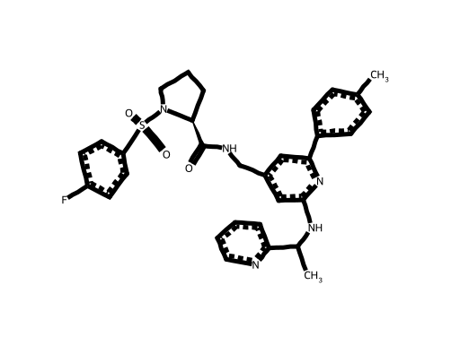 Cc1ccc(-c2cc(CNC(=O)[C@@H]3CCCN3S(=O)(=O)c3ccc(F)cc3)cc(NC(C)c3ccccn3)n2)cc1